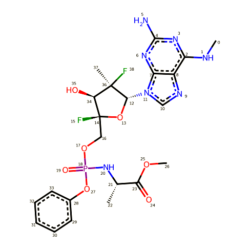 CNc1nc(N)nc2c1ncn2[C@@H]1O[C@](F)(COP(=O)(N[C@@H](C)C(=O)OC)Oc2ccccc2)[C@@H](O)[C@@]1(C)F